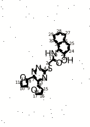 O=C(CSc1nnc(-c2ccco2)c(-c2ccco2)n1)Nc1c(O)ccc2ccccc12